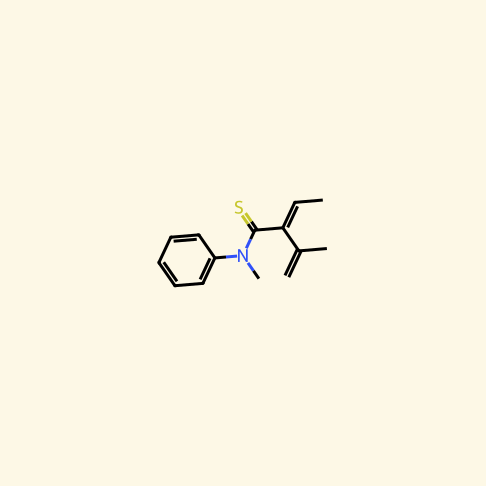 C=C(C)/C(=C\C)C(=S)N(C)c1ccccc1